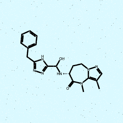 Cc1cnn2c1N(C)C(=O)[C@H](NC(O)c1nnc(Cc3ccccc3)[nH]1)CC2